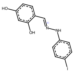 Oc1ccc(/C=N/Nc2ccc(I)cc2)c(O)c1